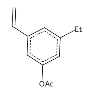 C=Cc1cc(CC)cc(OC(C)=O)c1